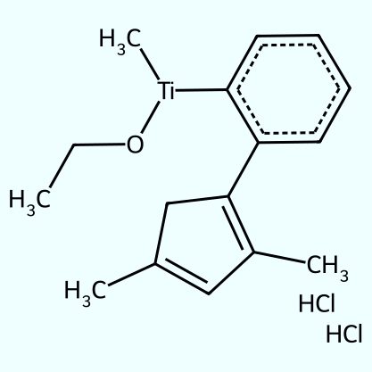 CC[O][Ti]([CH3])[c]1ccccc1C1=C(C)C=C(C)C1.Cl.Cl